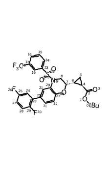 CC(C)(C)OC(=O)[C@@H]1C[C@H]1C1CN(S(=O)(=O)c2cccc(C(F)(F)F)c2)c2cc(-c3cc(F)ccc3F)ccc2O1